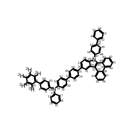 [2H]c1c([2H])c([2H])c(-c2ccc(N(c3ccccc3)c3ccc(-c4ccc(-c5ccc6c(c5)c5c7ccccc7c7ccccc7c5n6-c5ccc(-c6ccccc6)cc5)cc4)cc3)cc2)c([2H])c1[2H]